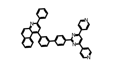 c1ccc(-c2cc(-c3cccc(-c4ccc(-c5nc(-c6ccncc6)cc(-c6ccncc6)n5)cc4)c3)c3c(ccc4ccccc43)n2)cc1